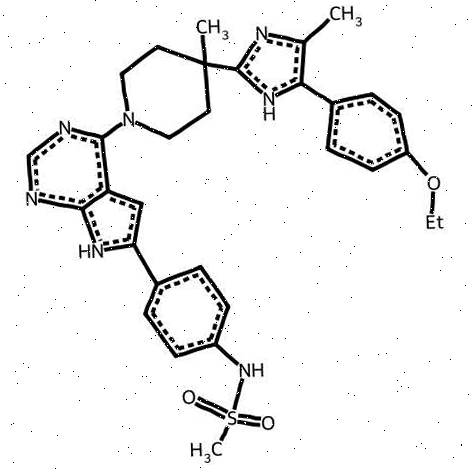 CCOc1ccc(-c2[nH]c(C3(C)CCN(c4ncnc5[nH]c(-c6ccc(NS(C)(=O)=O)cc6)cc45)CC3)nc2C)cc1